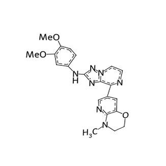 COc1ccc(Nc2nc3c(-c4cnc5c(c4)OCCN5C)nccn3n2)cc1OC